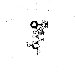 CCn1nnnc1-c1ccccc1S(=O)(=O)NC(=O)Nc1nc(OC)cc(OC)n1